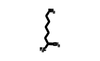 BCCCCCC(=C)C(F)(F)F